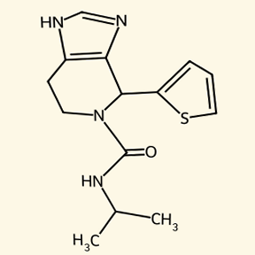 CC(C)NC(=O)N1CCc2[nH]cnc2C1c1cccs1